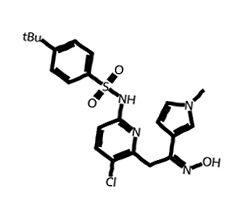 Cn1ccc(/C(Cc2nc(NS(=O)(=O)c3ccc(C(C)(C)C)cc3)ccc2Cl)=N\O)c1